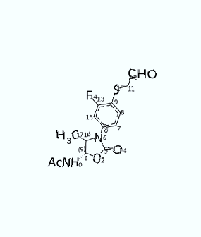 CC(=O)N[C@H]1OC(=O)N(c2ccc(SCC=O)c(F)c2)C1C